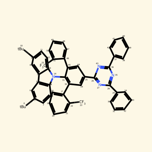 CC(C)(C)c1ccc2c(c1)c1cc(C(C)(C)C)ccc1n2-c1c(-c2ccccc2C(F)(F)F)cc(-c2nc(-c3ccccc3)nc(-c3ccccc3)n2)cc1-c1ccccc1C(F)(F)F